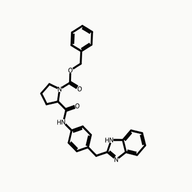 O=C(Nc1ccc(Cc2nc3ccccc3[nH]2)cc1)C1CCCN1C(=O)OCc1ccccc1